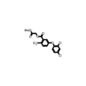 COC(=O)COC(=O)c1cc(Oc2ccc(Cl)cc2Cl)ccc1[N+](=O)[O-]